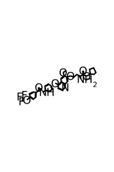 COc1cc2c(Oc3ccc(NC(=O)c4ccc(OC(F)(F)F)cc4)cc3)ccnc2cc1OCCC(N)C(=O)OC1CCCC1